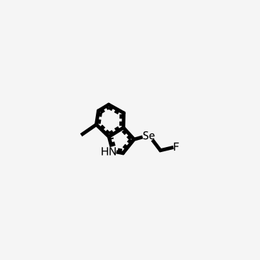 Cc1cccc2c([Se]CF)c[nH]c12